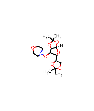 CC1(C)OC2C(ON3CCOCC3)[C@@H]([C@H]3COC(C)(C)O3)O[C@@H]2O1